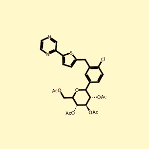 CC(=O)OCC1OC(c2ccc(Cl)c(Cc3ccc(-c4cnccn4)s3)c2)[C@H](OC(C)=O)[C@@H](OC(C)=O)[C@@H]1OC(C)=O